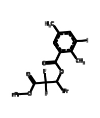 CCCOC(=O)C(F)(F)C(OC(=O)c1cc(C)cc(I)c1C)C(C)C